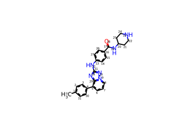 Cc1ccc(-c2cccn3nc(Nc4ccc(C(=O)NC5CCNCC5)cc4)nc23)cc1